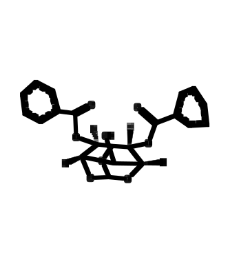 O=C(O[C@H]1C2OC3O[C@@H]1C(O)[C@H](O3)[C@H]2OC(=O)c1ccccc1)c1ccccc1